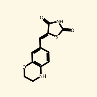 O=C1NC(=O)C(=Cc2ccc3c(c2)OCCN3)S1